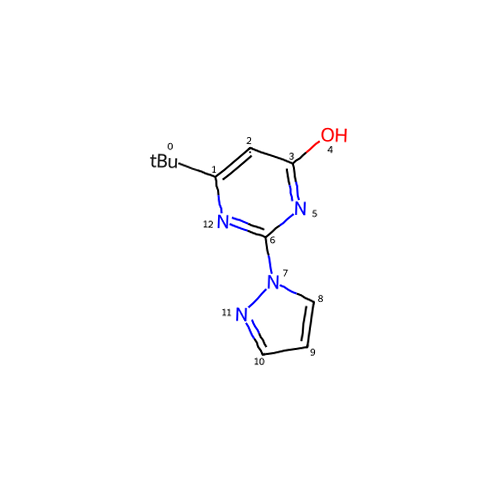 CC(C)(C)c1[c]c(O)nc(-n2cccn2)n1